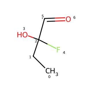 CCC(O)(F)[C]=O